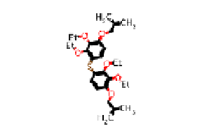 C=C(C)COc1ccc(Sc2ccc(OCC(=C)C)c(OCC)c2OCC)c(OCC)c1OCC